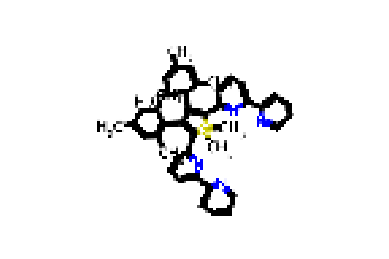 CC1=CC(C)C(C2=C(c3cccc(-c4ccccn4)n3)S(C)(C)C(c3cccc(-c4ccccn4)n3)=C2C2=C(C)C=C(C)CC2C)C(C)=C1